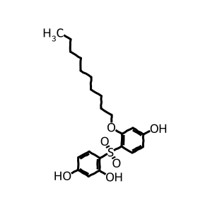 CCCCCCCCCCOc1cc(O)ccc1S(=O)(=O)c1ccc(O)cc1O